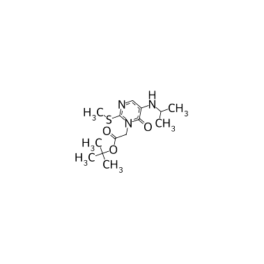 CSc1ncc(NC(C)C)c(=O)n1CC(=O)OC(C)(C)C